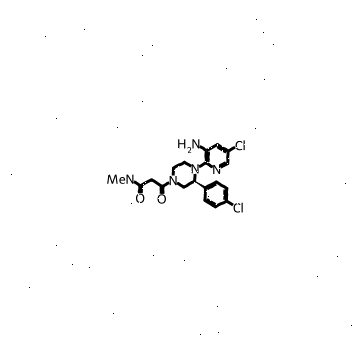 CNC(=O)CC(=O)N1CCN(c2ncc(Cl)cc2N)[C@@H](c2ccc(Cl)cc2)C1